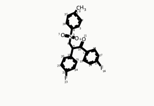 Cc1ccc(S(=O)(=O)CC(C(=O)c2ccc(F)cc2)c2ccc(F)cc2)cc1